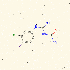 N=C(NC(N)=O)Nc1ccc(I)c(Br)c1